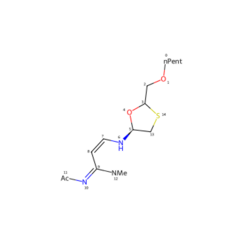 CCCCCOCC1O[C@H](N/C=C\C(=N/C(C)=O)NC)CS1